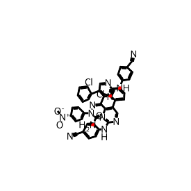 N#Cc1ccc(Nc2ncc(-c3ccccc3Cl)c(C(=NN(C(N)=O)c3ccc([N+](=O)[O-])cc3)c3nc(Nc4ccc(C#N)cc4)ncc3-c3ccccc3Cl)n2)cc1